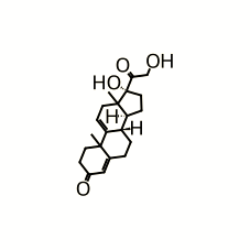 CC12CCC(=O)C=C1CC[C@@H]1C2=CCC2(C)[C@H]1CC[C@]2(O)C(=O)CO